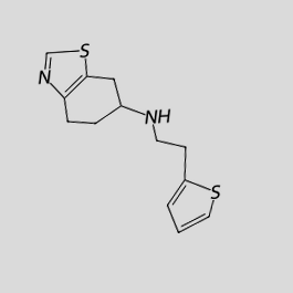 c1csc(CCNC2CCc3ncsc3C2)c1